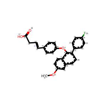 COc1ccc2c(Oc3ccc(/C=C/CC(=O)O)cc3)c(-c3ccc(F)cc3)ccc2c1